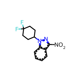 O=[N+]([O-])c1nn(C2CCC(F)(F)CC2)c2ccccc12